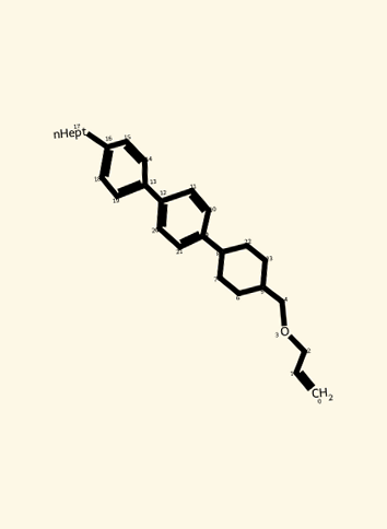 C=CCOCC1CCC(c2ccc(-c3ccc(CCCCCCC)cc3)cc2)CC1